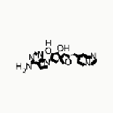 Nc1ncnc2c1ccn2[C@@H]1C[C@@]2(CO[C@@H](Cc3ccn4ccnc4c3)C2)[C@@H](O)[C@H]1O